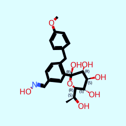 COc1ccc(Cc2ccc(C=NO)cc2[C@@]2(O)O[C@H]([C@H](C)O)[C@@H](O)[C@H](O)[C@H]2O)cc1